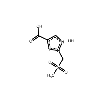 CS(=O)(=O)Cn1ncc(C(=O)O)n1.[LiH]